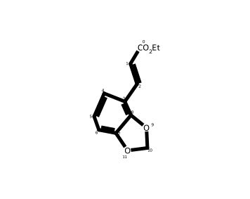 CCOC(=O)C=Cc1cccc2c1OCO2